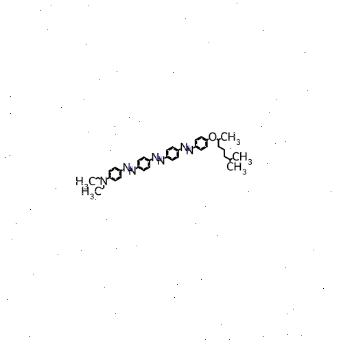 CCN(CC)c1ccc(/N=N/c2ccc(/N=N/c3ccc(/N=N/c4ccc(OC(C)CCCC(C)C)cc4)cc3)cc2)cc1